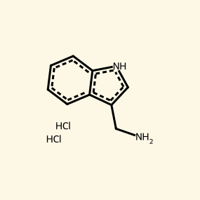 Cl.Cl.NCc1c[nH]c2ccccc12